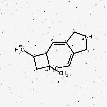 C/C=C1/CNC/C1=C/C1C(C)CC1C